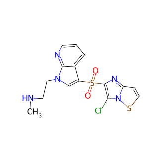 CNCCn1cc(S(=O)(=O)c2nc3ccsn3c2Cl)c2cccnc21